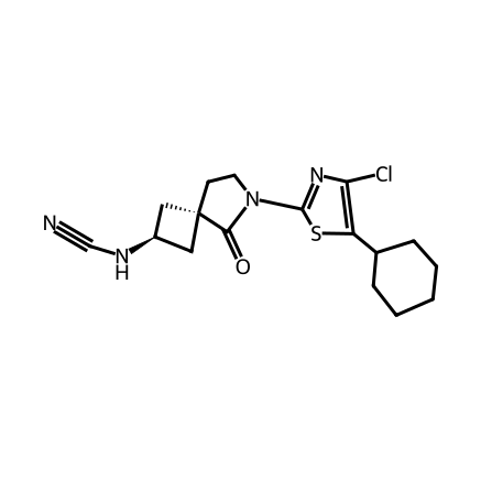 N#CN[C@H]1C[C@@]2(CCN(c3nc(Cl)c(C4CCCCC4)s3)C2=O)C1